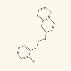 Fc1ccccc1CCOc1ccc2ncccc2c1